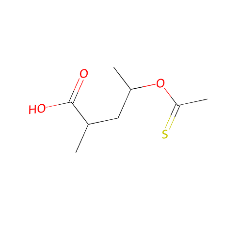 CC(=S)OC(C)CC(C)C(=O)O